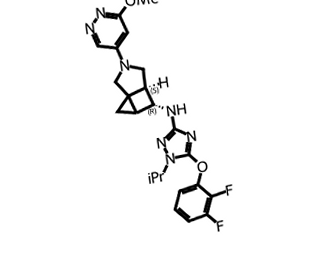 COc1cc(N2C[C@H]3[C@H](Nc4nc(Oc5cccc(F)c5F)n(C(C)C)n4)C4CC43C2)cnn1